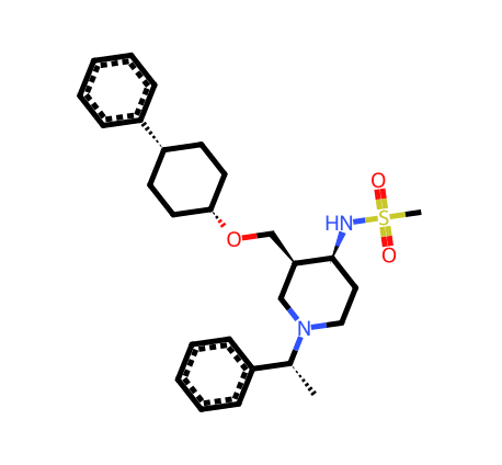 C[C@H](c1ccccc1)N1CC[C@H](NS(C)(=O)=O)[C@H](CO[C@H]2CC[C@@H](c3ccccc3)CC2)C1